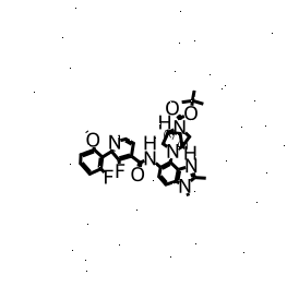 COc1cccc(F)c1-c1nccc(C(=O)Nc2ccc3c(nc(C)n3C)c2N2C[C@H]3C[C@@H]2CN3C(=O)OC(C)(C)C)c1F